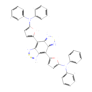 c1ccc(N(c2ccccc2)c2ccc(-c3c4c(c(-c5ccc(N(c6ccccc6)c6ccccc6)o5)c5nsnc35)N=S=N4)o2)cc1